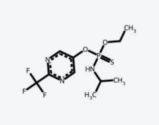 CCOP(=S)(NC(C)C)Oc1cnc(C(F)(F)F)nc1